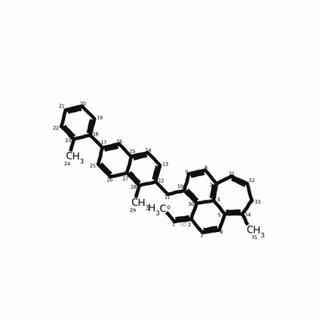 C/C=c1/ccc2c3c(ccc(Cc4ccc5cc(-c6ccccc6C)ccc5c4C)c13)C=CCC=2C